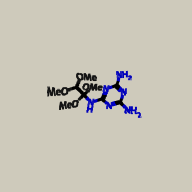 COC(OC)C(Nc1nc(N)nc(N)n1)(OC)OC